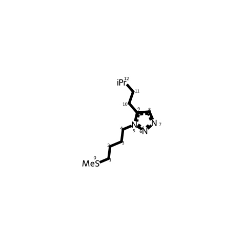 CSCCCCn1nncc1CCC(C)C